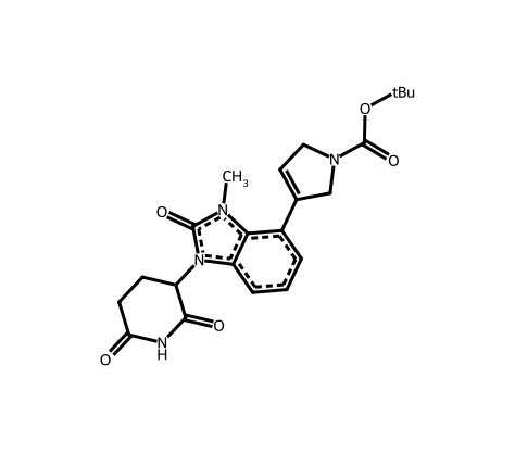 Cn1c(=O)n(C2CCC(=O)NC2=O)c2cccc(C3=CCN(C(=O)OC(C)(C)C)C3)c21